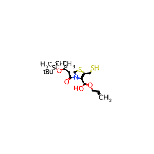 C=CCOC(O)C1=C(CS)SC2[C@@H]([C@@H](C)O[Si](C)(C)C(C)(C)C)C(=O)N12